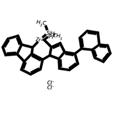 CC(C)CC1=Cc2c(-c3cccc4ccccc34)cccc2C1c1cccc2c1[CH]([Zr+2][SiH](C)C)c1ccccc1-2.[Cl-].[Cl-]